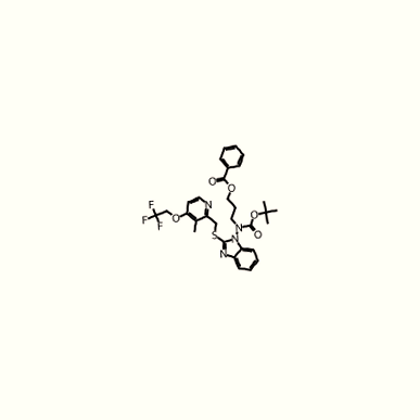 Cc1c(OCC(F)(F)F)ccnc1CSc1nc2ccccc2n1N(CCCOC(=O)c1ccccc1)C(=O)OC(C)(C)C